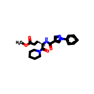 COC(=O)CC[C@H](NC(=O)c1cnn(-c2ccccc2)c1)C(=O)N1CCCCC1